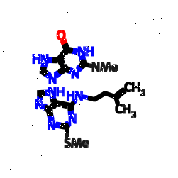 C=C(C)CCNc1nc(SC)nc2nc[nH]c12.CNc1nc2nc[nH]c2c(=O)[nH]1